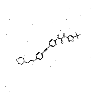 CC(C)(C)c1cc(NC(=O)Nc2ccc(C#Cc3ccc(OCCN4CCOCC4)cc3)cn2)no1